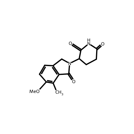 COc1ccc2c(c1C)C(=O)N(C1CCC(=O)NC1=O)C2